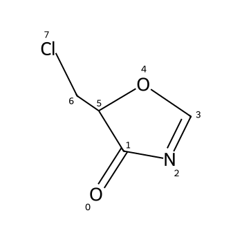 O=C1N=COC1CCl